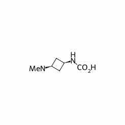 CN[C@H]1C[C@@H](NC(=O)O)C1